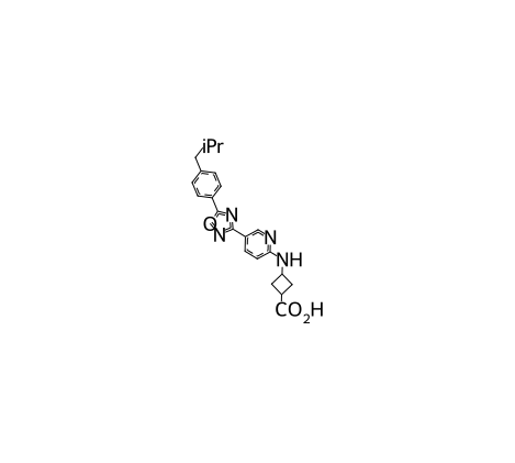 CC(C)Cc1ccc(-c2nc(-c3ccc(NC4CC(C(=O)O)C4)nc3)no2)cc1